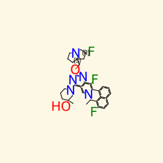 CCc1c(F)ccc2cccc(-c3ncc4c(N5CCCC(C)(O)C5)nc(OC[C@@]56CCCN5C[C@H](F)C6)nc4c3F)c12